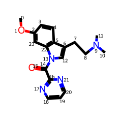 COc1ccc2c(CCN(C)C)cn(C(=O)c3ncccn3)c2c1